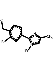 CC(C)n1cc(C(F)(F)F)nc1-c1ccc(CCl)c(Br)c1